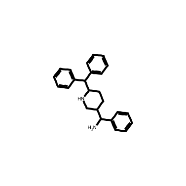 NC(c1ccccc1)C1CCC(C(c2ccccc2)c2ccccc2)NC1